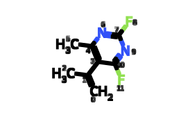 C=C(C)c1c(C)nc(F)nc1F